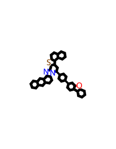 c1ccc2cc3c(ccc4c3nc3c5sc6ccc7ccccc7c6c5cc(-c5ccc(-c6ccc7c(c6)oc6ccccc67)cc5)n43)cc2c1